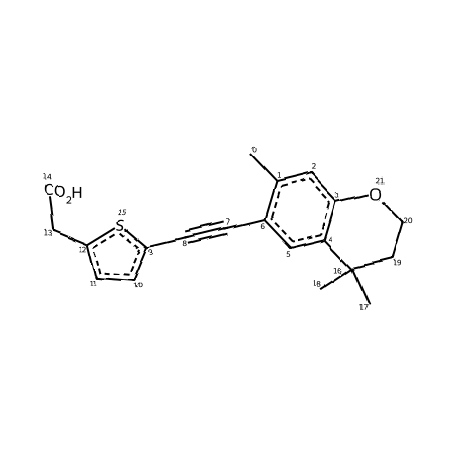 Cc1cc2c(cc1C#Cc1ccc(CC(=O)O)s1)C(C)(C)CCO2